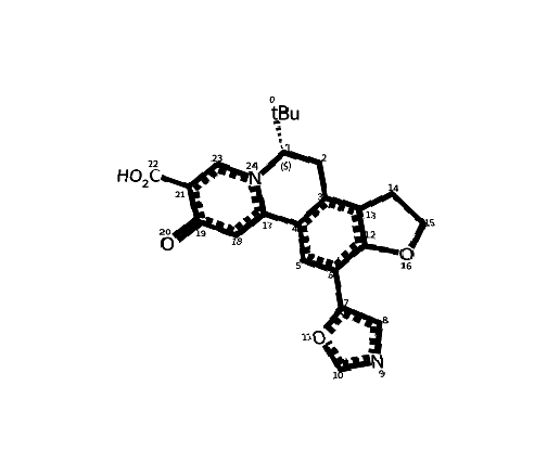 CC(C)(C)[C@@H]1Cc2c(cc(-c3cnco3)c3c2CCO3)-c2cc(=O)c(C(=O)O)cn21